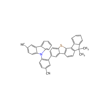 CC1(C)c2ccccc2-c2c1ccc1c2sc2ccc(-c3cc(C#N)ccc3-n3c4ccccc4c4cc(C#N)ccc43)cc21